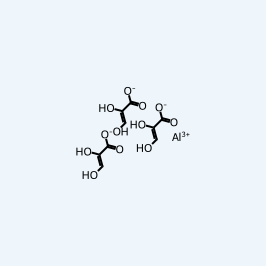 O=C([O-])C(O)=CO.O=C([O-])C(O)=CO.O=C([O-])C(O)=CO.[Al+3]